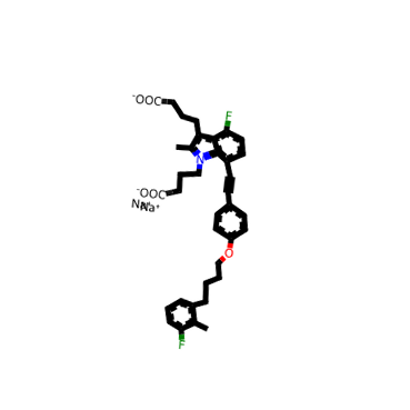 Cc1c(F)cccc1CCCCOc1ccc(C#Cc2ccc(F)c3c(CCCC(=O)[O-])c(C)n(CCCC(=O)[O-])c23)cc1.[Na+].[Na+]